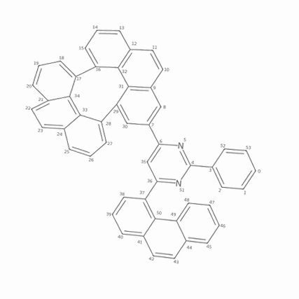 c1ccc(-c2nc(-c3cc4ccc5cccc6c7cccc8ccc9cccc(c(c3)c4c56)c9c87)cc(-c3cccc4ccc5ccccc5c34)n2)cc1